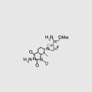 COC[C@H](N)[C@H]1CN(c2ccc3c(=O)n(N)c(=O)n(C4CC4)c3c2C)C[C@H]1F